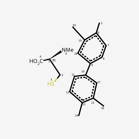 CN[C@@H](CS)C(=O)O.Cc1ccc(-c2ccc(C)c(C)c2)cc1C